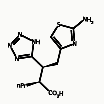 CCC[C@H](C(=O)O)[C@H](Cc1csc(N)n1)c1nnn[nH]1